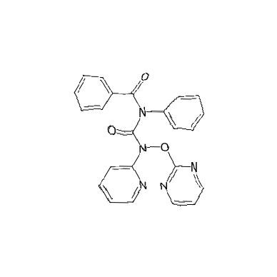 O=C(c1ccccc1)N(C(=O)N(Oc1ncccn1)c1ccccn1)c1ccccc1